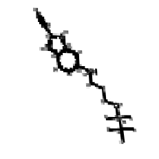 CC(C)(C)[Si](C)(C)OCCCNc1ccc2nc(C#N)sc2c1